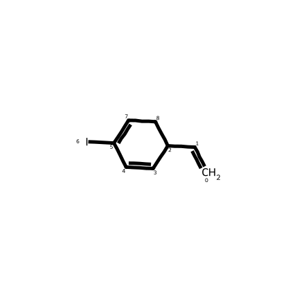 C=CC1C=CC(I)=CC1